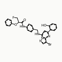 O=C(Nc1ccc(CNc2cc(-c3ccccc3O)nc3c(Br)cnn23)cc1)C(CF)Oc1ccccc1